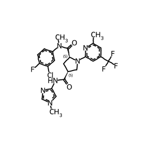 Cc1cc(C(F)(F)F)cc(N2C[C@@H](C(=O)Nc3cn(C)cn3)C[C@H]2C(=O)N(C)c2ccc(F)c(Cl)c2)n1